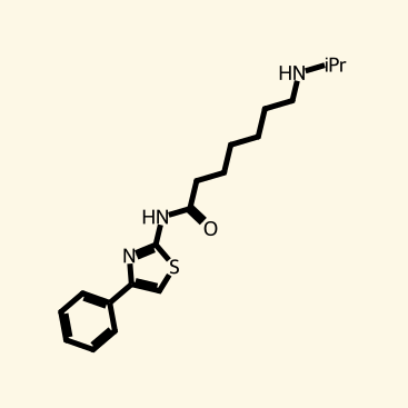 CC(C)NCCCCCCC(=O)Nc1nc(-c2ccccc2)cs1